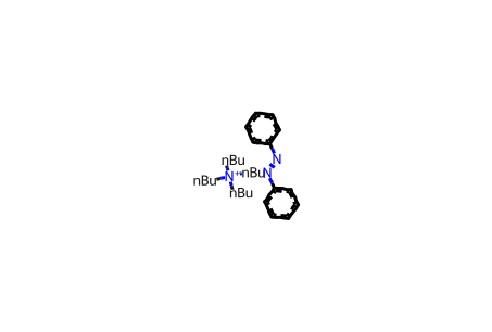 CCCC[N+](CCCC)(CCCC)CCCC.c1ccc(N=Nc2ccccc2)cc1